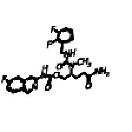 CN(C(=O)NCc1cccc(F)c1F)[C@@H](CCC(N)=O)COC(=O)Nc1cc2cc(F)ccc2cn1